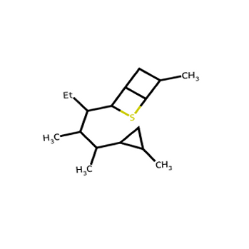 CCC(C(C)C(C)C1CC1C)C1SC2C(C)CC21